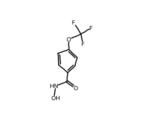 O=C(NO)c1ccc(OC(F)(F)F)cc1